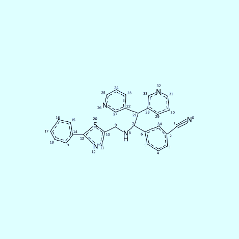 N#Cc1cccc(C(NCc2cnc(-c3ccccc3)s2)C(c2cccnc2)c2cccnc2)c1